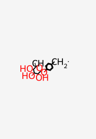 [CH2]c1ccc(OC2O[C@H](C)[C@@H](O)[C@H](O)[C@@H]2O)cc1